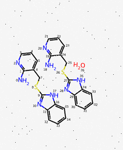 Nc1ncccc1CSc1nc2ccccc2[nH]1.Nc1ncccc1CSc1nc2ccccc2[nH]1.O